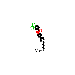 COCCCCC[SiH]1CCC(c2ccc(OC(=O)c3ccc(Cl)c(Cl)c3)cc2)CC1